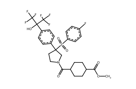 COC(=O)C1CCC(C(=O)N2CCC(c3ccc(C(O)(C(F)(F)F)C(F)(F)F)cc3)(S(=O)(=O)c3ccc(F)cc3)C2)CC1